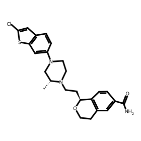 C[C@@H]1CN(c2ccc3cc(Cl)sc3c2)CCN1CC[C@@H]1OCCc2cc(C(N)=O)ccc21